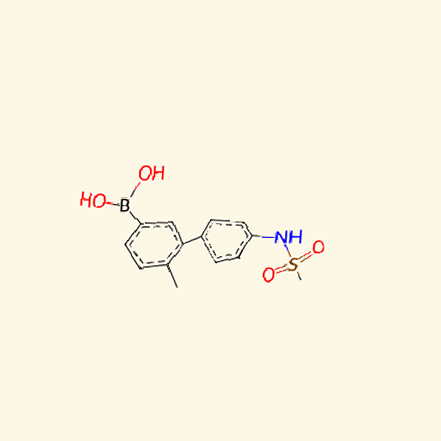 Cc1ccc(B(O)O)cc1-c1ccc(NS(C)(=O)=O)cc1